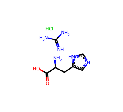 Cl.N=C(N)N.N[C@@H](Cc1cnc[nH]1)C(=O)O